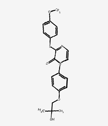 CC(C)(O)COc1ccc(-n2ccnc(Sc3ccc(OC(F)(F)F)cc3)c2=O)cc1